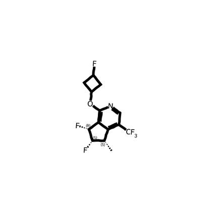 C[C@H]1c2c(C(F)(F)F)cnc(OC3CC(F)C3)c2[C@@H](F)[C@H]1F